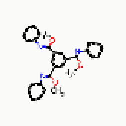 CO/C(=N\c1ccccc1)c1cc(/C(=N/c2ccccc2)OC)cc(/C(=N/c2ccccc2)OC)c1